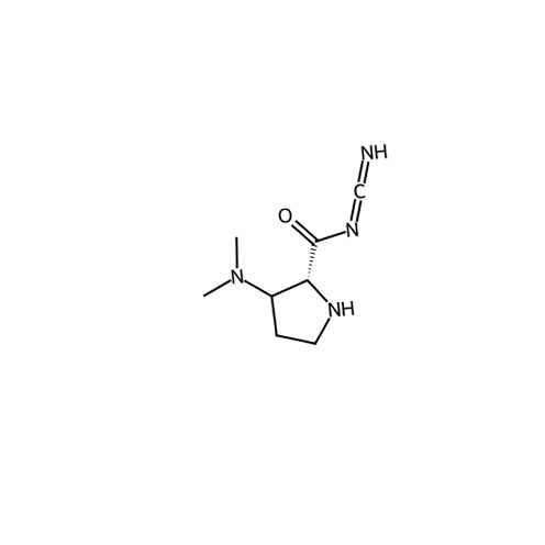 CN(C)C1CCN[C@H]1C(=O)N=C=N